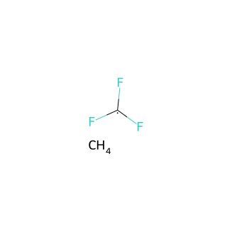 C.F[C](F)F